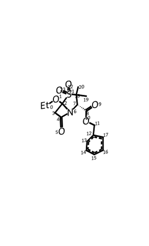 CCOC12CC(=O)N1[C@@H](C(=O)OCc1ccccc1)C(C)(C)S2(=O)=O